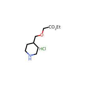 CCOC(=O)COCC1CCNCC1.Cl